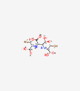 O=C(O)C(CS)NC(C(=O)O)[C@H](NC(CS)C(=O)O)C(=O)O